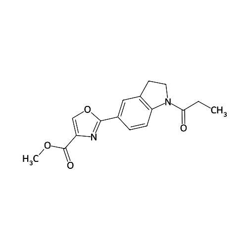 CCC(=O)N1CCc2cc(-c3nc(C(=O)OC)co3)ccc21